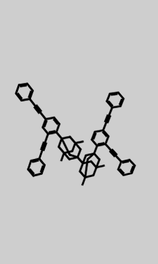 CC12CC3(C)CC(c4ccc(C#Cc5ccccc5)cc4C#Cc4ccccc4)(C1)CC(C14CC5(C)CC(C)(CC(c6ccc(C#Cc7ccccc7)cc6C#Cc6ccccc6)(C5)C1)C4)(C2)C3